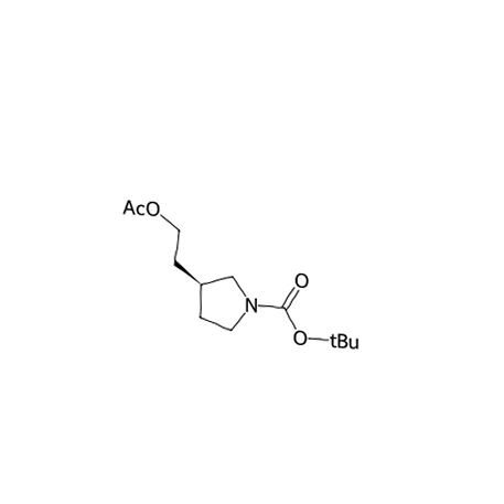 CC(=O)OCC[C@@H]1CCN(C(=O)OC(C)(C)C)C1